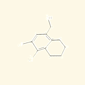 N#Cc1c(F)cc(CO)c2c1CCCC2